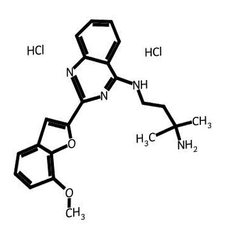 COc1cccc2cc(-c3nc(NCCC(C)(C)N)c4ccccc4n3)oc12.Cl.Cl